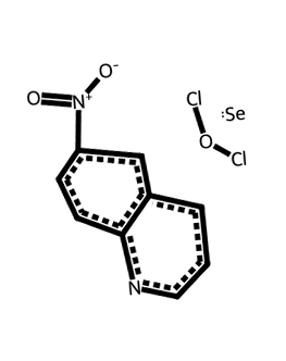 ClOCl.O=[N+]([O-])c1ccc2ncccc2c1.[Se]